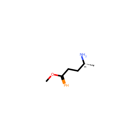 COC(=P)CC[C@@H](C)N